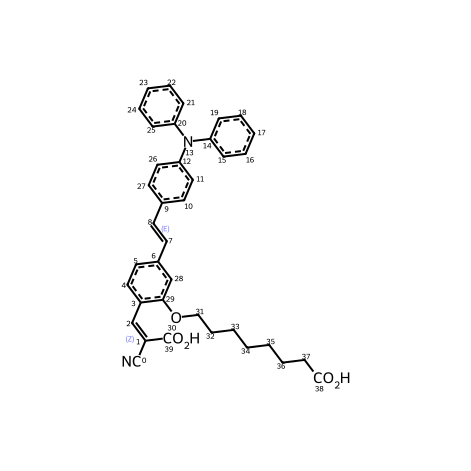 N#C/C(=C/c1ccc(/C=C/c2ccc(N(c3ccccc3)c3ccccc3)cc2)cc1OCCCCCCCC(=O)O)C(=O)O